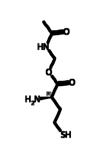 CC(=O)NCOC(=O)[C@H](N)CCS